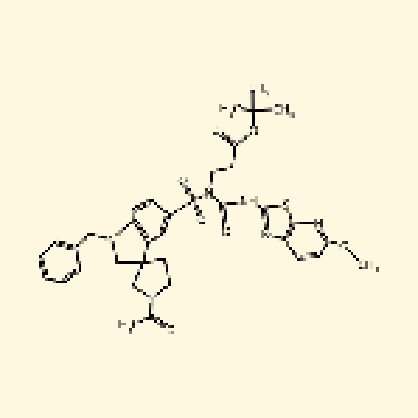 COc1ccc2nc(NC(=O)N(CCC(=O)OC(C)(C)C)S(=O)(=O)c3ccc4c(c3)C3(CCN(C(C)=O)C3)CN4Cc3ccccc3)sc2n1